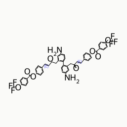 Nc1ccc(-c2ccc(N)cc2CC(=O)/C=C/c2ccc(OC(=O)c3ccc(OC(F)(F)F)cc3)cc2)c(CC(=O)/C=C/c2ccc(OC(=O)c3ccc(OC(F)(F)F)cc3)cc2)c1